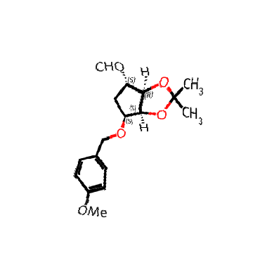 COc1ccc(CO[C@H]2C[C@H](C=O)[C@H]3OC(C)(C)O[C@H]32)cc1